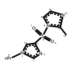 CCCn1cnc(S(=O)(=O)n2ccnc2C)c1